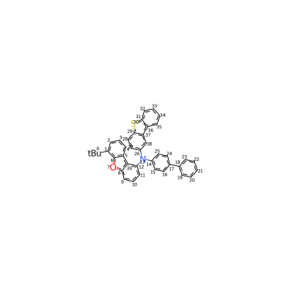 CC(C)(C)c1cccc2c1oc1cccc(N(c3ccc(-c4ccccc4)cc3)c3ccc4sc5ccccc5c4c3)c12